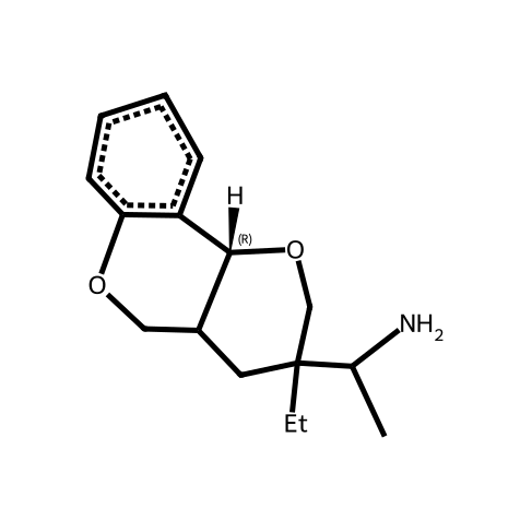 CCC1(C(C)N)CO[C@H]2c3ccccc3OCC2C1